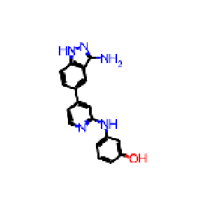 Nc1n[nH]c2ccc(-c3ccnc(Nc4cccc(O)c4)c3)cc12